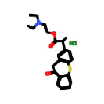 CCN(CC)CCOC(=O)C(C)c1ccc2c(c1)CC(=O)c1ccccc1S2.Cl